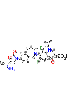 CC(=O)C(N)C1CN(c2ccc3c(c2)CCCN(c2c(F)cc4c(=O)c(C(=O)O)cn(C5CC5)c4c2F)C3)C(=O)O1